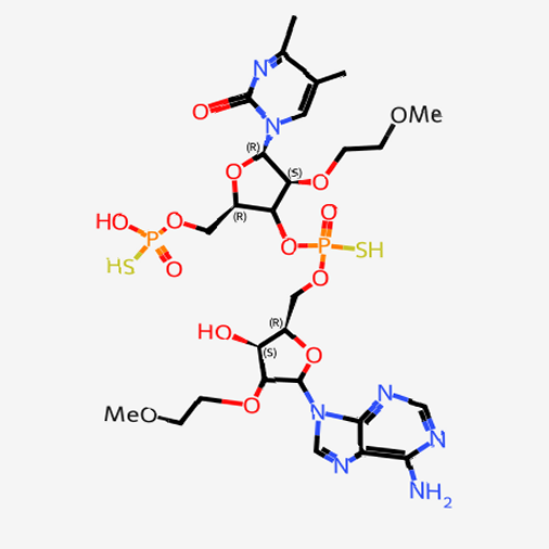 COCCOC1C(n2cnc3c(N)ncnc32)O[C@H](COP(=O)(S)OC2[C@@H](COP(=O)(O)S)O[C@@H](n3cc(C)c(C)nc3=O)[C@H]2OCCOC)[C@@H]1O